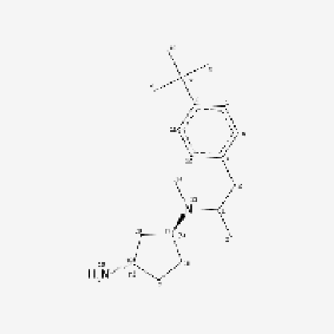 CC(Cc1ccc(C(C)(C)C)cc1)N(C)[C@H]1CC[C@H](N)C1